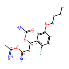 CCCCOc1ccc(F)c(C(CC(=N)OC(C)=N)OC(N)=O)c1